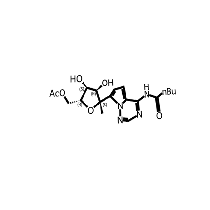 CCCCC(=O)Nc1ncnn2c([C@]3(C)O[C@H](COC(C)=O)[C@@H](O)[C@H]3O)ccc12